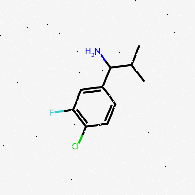 CC(C)C(N)c1ccc(Cl)c(F)c1